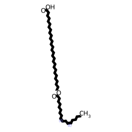 CCCCC/C=C\C/C=C\CCCCCCCC(=O)OCCCCCCCCCCCCCCCCCCCCCCCCCCCCC(=O)O